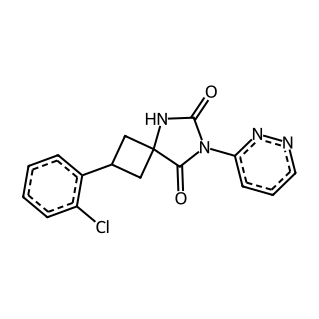 O=C1NC2(CC(c3ccccc3Cl)C2)C(=O)N1c1cccnn1